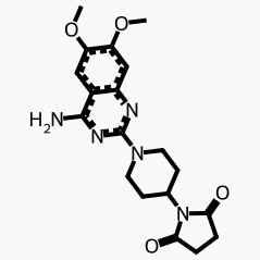 COc1cc2nc(N3CCC(N4C(=O)CCC4=O)CC3)nc(N)c2cc1OC